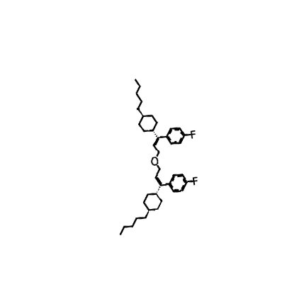 CCCCC[C@H]1CC[C@H](C(=CCOCC=C(c2ccc(F)cc2)[C@H]2CC[C@H](CCCCC)CC2)c2ccc(F)cc2)CC1